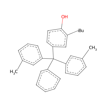 CCC(C)c1cc(C(c2ccccc2)(c2cccc(C)c2)c2cccc(C)c2)ccc1O